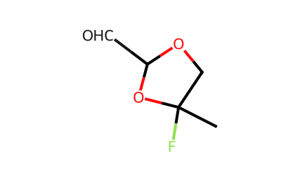 CC1(F)COC(C=O)O1